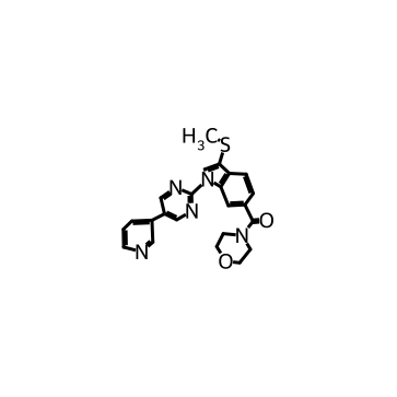 CSc1cn(-c2ncc(-c3cccnc3)cn2)c2cc(C(=O)N3CCOCC3)ccc12